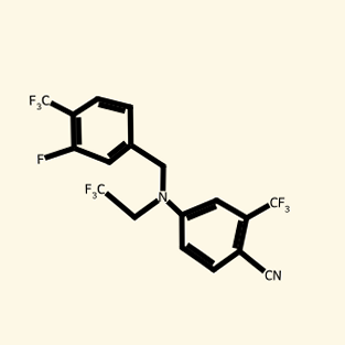 N#Cc1ccc(N(Cc2ccc(C(F)(F)F)c(F)c2)CC(F)(F)F)cc1C(F)(F)F